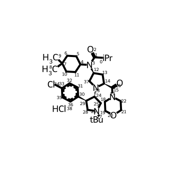 CC(C)C(=O)N(C1CCC(C)(C)CC1)[C@H]1C[C@@H](C(=O)N2CCOCC2)N([C@@H]2CN(C(C)(C)C)C[C@H]2c2ccc(Cl)cc2)C1.Cl